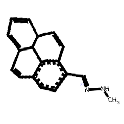 CN/N=C/c1ccc2c3c1C=CC1C=CC=C(C=C2)C31